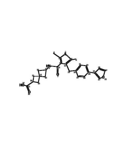 Cc1sc(C)c(C(=O)NC2CC3(C2)CC(C(=O)O)C3)c1Cc1ccc(-c2ccoc2)cc1